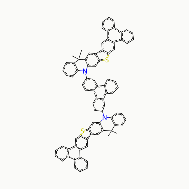 CC1(C)c2ccccc2N(c2ccc3c4ccc(N5c6ccccc6C(C)(C)c6cc7c(cc65)sc5cc6c8ccccc8c8ccccc8c6cc57)cc4c4ccccc4c3c2)c2cc3sc4cc5c6ccccc6c6ccccc6c5cc4c3cc21